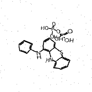 O=P(O)(O)OP(=O)(O)O.c1ccc(Nc2cccc3c2Nc2ccccc2S3)cc1